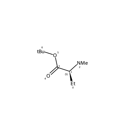 CC[C@H](NC)C(=O)OC(C)(C)C